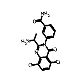 CC(N)c1nc2c(Cl)ccc(Cl)c2c(=O)n1-c1cccc(C(N)=O)c1